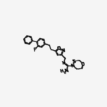 NC(=NCc1cc(CCc2ccc(-c3ccccc3)c(F)c2)on1)N1CCOCS1